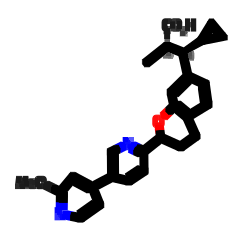 COc1cc(-c2ccc(C3CCc4ccc([C@H](C5CC5)[C@H](C)C(=O)O)cc4O3)nc2)ccn1